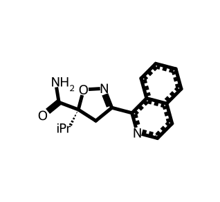 CC(C)[C@@]1(C(N)=O)CC(c2nccc3ccccc23)=NO1